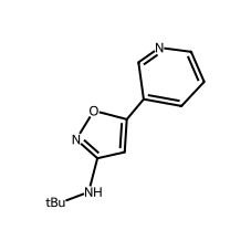 CC(C)(C)Nc1cc(-c2cccnc2)on1